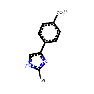 CC(C)c1nc(-c2ccc(C(=O)O)cc2)c[nH]1